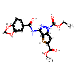 CCOC(=O)n1nc(NC(=O)c2ccc3c(c2)OCO3)c2sc(C(=O)OC)cc21